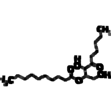 CCCCCCCCCC(=O)OC(CO)C(O)C(=O)CCCCC